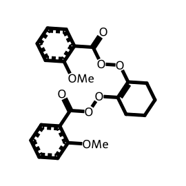 COc1ccccc1C(=O)OOC1=C(OOC(=O)c2ccccc2OC)CCCC1